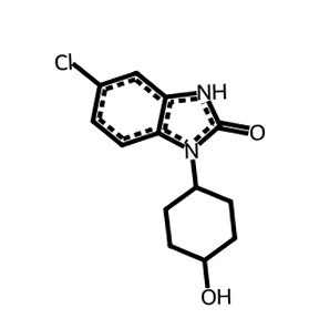 O=c1[nH]c2cc(Cl)ccc2n1C1CCC(O)CC1